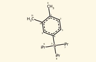 Cc1ccc([Si](C(C)C)(C(C)C)C(C)C)cc1C